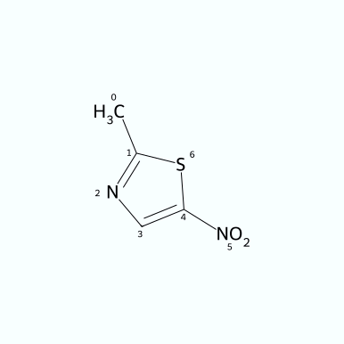 Cc1ncc([N+](=O)[O-])s1